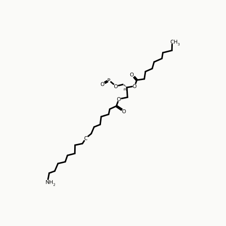 CCCCCCCCC(=O)O[C@@H](COP=O)COC(=O)CCCCCCCCCCCCCCCN